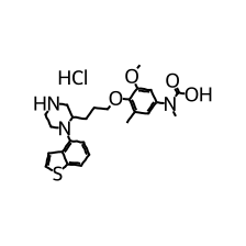 COc1cc(N(C)C(=O)O)cc(C)c1OCCCC1CNCCN1c1cccc2sccc12.Cl